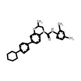 Cc1ccc(NC(=O)N2CC(C)Oc3cc(-c4ccc(C5CCCCC5)cc4)ccc32)c(C)c1